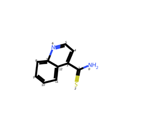 NC(=S)c1ccnc2ccccc12